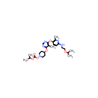 Cc1nc(NCCOC(C)C)ccc1Oc1ncnc(OC2CCN(OC(=O)OC(C)C)CC2)c1C